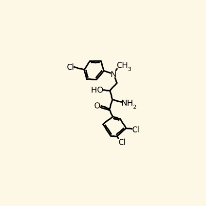 CN(CC(O)C(N)C(=O)c1ccc(Cl)c(Cl)c1)c1ccc(Cl)cc1